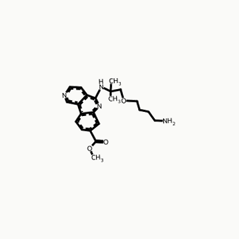 COC(=O)c1ccc2c(c1)nc(NC(C)(C)COCCCCN)c1ccncc12